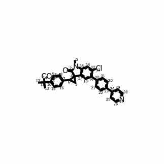 CN1C(=O)C2(CC2c2ccc(C(C)(C)C(=O)O)cc2)c2cc(-c3ccc(-c4ccncc4)cc3)c(Cl)cc21